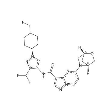 O=C(Nc1cn([C@H]2CC[C@H](CI)CC2)nc1C(F)F)c1cnn2ccc(N3C[C@H]4C[C@@H]3CO4)nc12